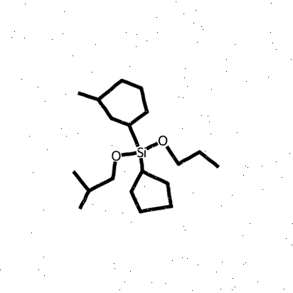 CCCO[Si](OCC(C)C)(C1CCCC1)C1CCCC(C)C1